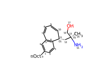 CCCCCCCCc1ccc2c(c1)C=CC=C[C@@H]2C[C@](C)(N)CO